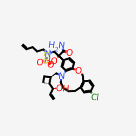 C=CCCCN(CC(O)(C(N)=O)c1ccc2c(c1)N(C[C@@H]1CC[C@H]1[C@@H](O)C=C)CCCCc1cc(Cl)ccc1CO2)[SH](=O)=O